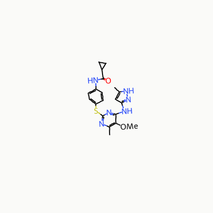 COc1c(C)nc(Sc2ccc(NC(=O)C3CC3)cc2)nc1Nc1cc(C)[nH]n1